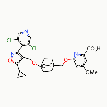 COc1cc(OCC23CCC(OCc4c(-c5c(Cl)cncc5Cl)noc4C4CC4)(CC2)CC3)nc(C(=O)O)c1